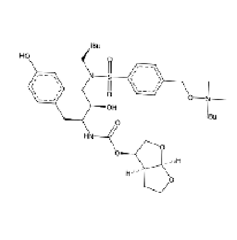 CC[C@H](C)CN(C[C@@H](O)[C@H](Cc1ccc(O)cc1)NC(=O)O[C@H]1CO[C@H]2OCC[C@H]21)S(=O)(=O)c1ccc(CO[Si](C)(C)C(C)(C)C)cc1